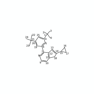 CC(C)(C)c1cc(-c2cccc3c2C=C(C2CC2)C3)cc(C(C)(C)C)c1